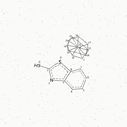 Sc1nc2ccccc2s1.[CH]12[CH]3[CH]4[CH]5[CH]1[Fe]23451678[CH]2[CH]1[CH]6[CH]7[CH]28